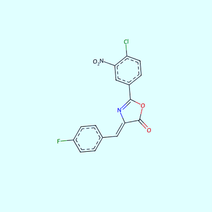 O=C1OC(c2ccc(Cl)c([N+](=O)[O-])c2)=NC1=Cc1ccc(F)cc1